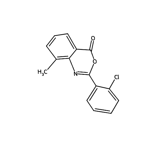 Cc1cccc2c(=O)oc(-c3ccccc3Cl)nc12